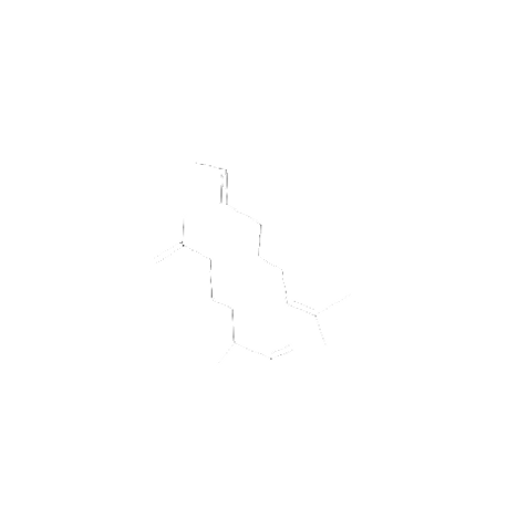 C=CC(C)CCCC(=C)C.CC=CCCCC=C(C)C